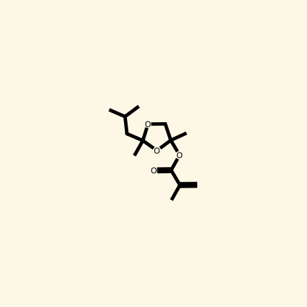 C=C(C)C(=O)OC1(C)COC(C)(CC(C)C)O1